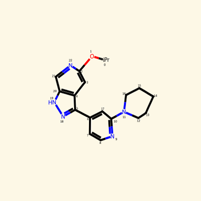 CC(C)Oc1cc2c(-c3ccnc(N4CCCCC4)c3)n[nH]c2cn1